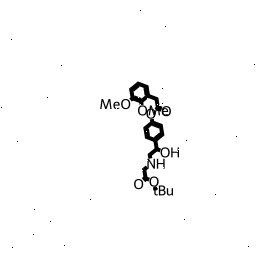 COc1cccc(CC(=O)Oc2ccc(C(O)CNCC(=O)OC(C)(C)C)cc2)c1OC